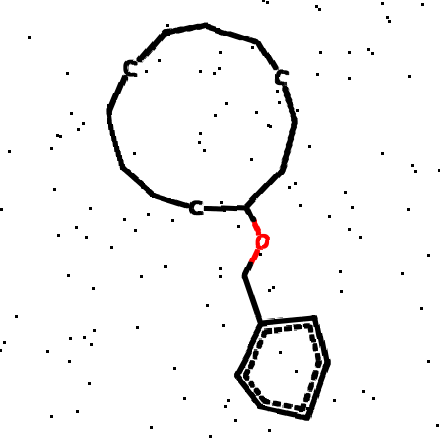 c1ccc(COC2CCCCCCCCCCC2)cc1